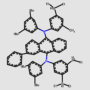 CC[SiH2]c1cc(N(c2cc(C(C)(C)C)cc(C(C)(C)C)c2)c2c3ccccc3c(N(c3cc(C)cc([SiH](CC)CC)c3)c3cc(C(C)(C)C)cc(C(C)(C)C)c3)c3ccc(-c4ccccc4)cc23)cc([SiH](CC)CC)c1